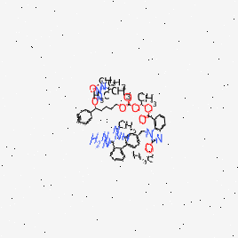 C=NN/C(=N\N)c1ccccc1-c1ccc(Cn2c(OCC)nc3cccc(C(=O)OC(C)OC(=O)OCCCCC(O/N=[N+](\[O-])N(C)C(C)(C)C)c4ccccc4)c32)cc1